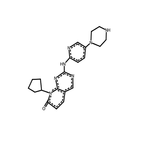 O=c1ccc2cnc(Nc3ccc(N4CCNCC4)cn3)nc2n1C1CCCC1